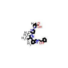 Cc1nc(N2C[C@@H]3C[C@]3(C(=O)O)C2)ccc1-n1nc(-c2cccc3nn(C[C@H](O)c4ccccc4)cc23)c(C(C)C)c1C